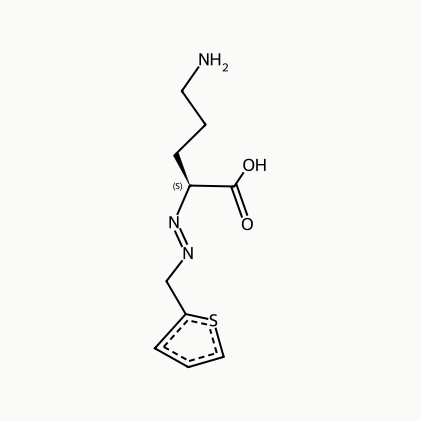 NCCC[C@H](N=NCc1cccs1)C(=O)O